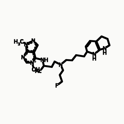 CC(=O)C(CCN(CCCF)CCCCC1C=CC2=C(NCCC2)N1)Nc1c2cnn(C)c2nc[n+]1O